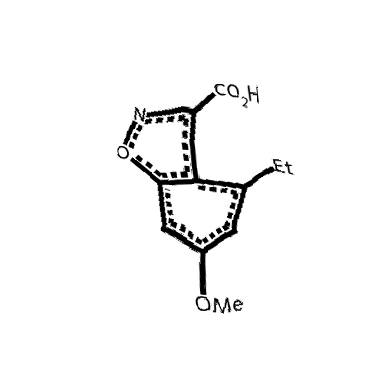 CCc1cc(OC)cc2onc(C(=O)O)c12